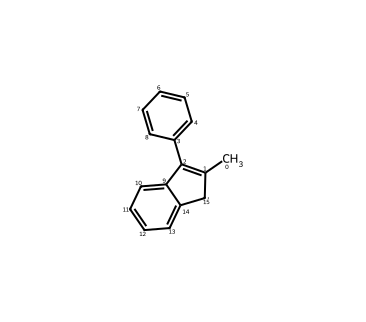 CC1=C(c2ccccc2)c2ccccc2[CH]1